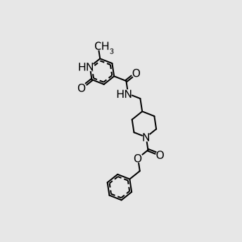 Cc1cc(C(=O)NCC2CCN(C(=O)OCc3ccccc3)CC2)cc(=O)[nH]1